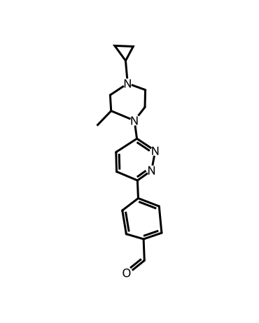 CC1CN(C2CC2)CCN1c1ccc(-c2ccc(C=O)cc2)nn1